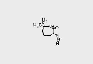 CC1(C)CCCC(N=[N+]=[N-])C(=O)N1